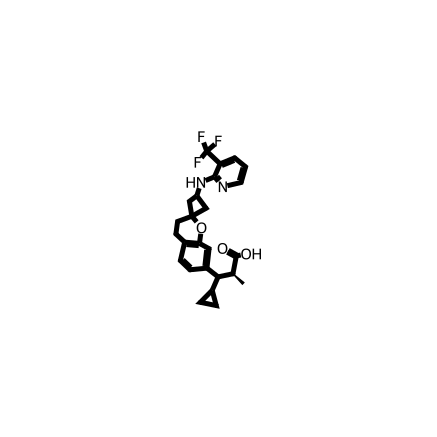 C[C@H](C(=O)O)C(c1ccc2c(c1)OC1(CC2)CC(Nc2ncccc2C(F)(F)F)C1)C1CC1